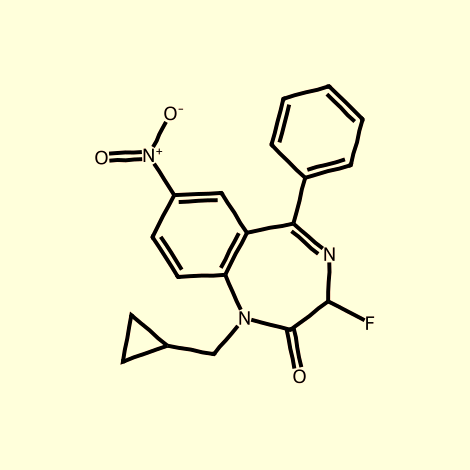 O=C1C(F)N=C(c2ccccc2)c2cc([N+](=O)[O-])ccc2N1CC1CC1